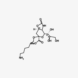 COC(=O)C1(OCCCCCCN)C[C@H]2OC(=O)NC2C([C@H](O)[C@H](O)CO)O1